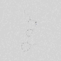 CCOC(=O)/C=C\n1cnc(-c2ccccc2N)n1